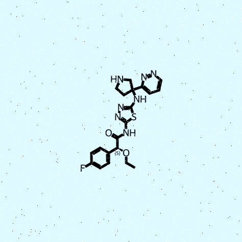 CCO[C@H](C(=O)Nc1nnc(NC2(c3cccnn3)CCNC2)s1)c1ccc(F)cc1